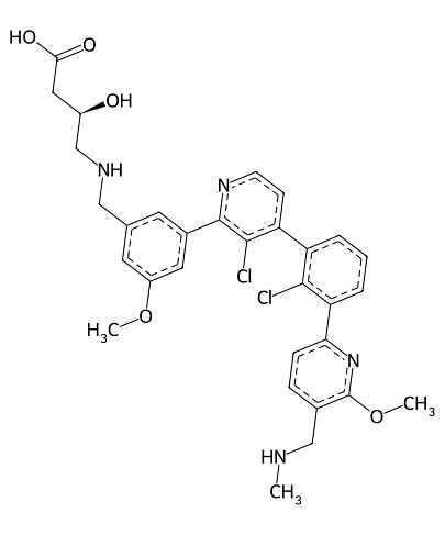 CNCc1ccc(-c2cccc(-c3ccnc(-c4cc(CNC[C@H](O)CC(=O)O)cc(OC)c4)c3Cl)c2Cl)nc1OC